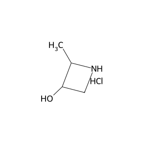 CC1NCC1O.Cl